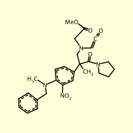 COC(=O)CN(C=C=O)CC(C)(C(=O)N1CCCC1)c1ccc(N(C)Cc2ccccc2)c([N+](=O)[O-])c1